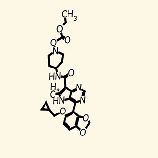 CCOC(=O)ON1CCC(NC(=O)c2c(C)[nH]c3c(-c4c(OCC5CC5)ccc5c4OCO5)ncnc23)CC1